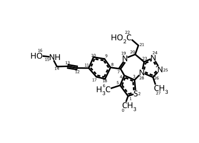 Cc1sc2c(c1C)C(c1ccc(C#CCNO)cc1)=NC(CC(=O)O)c1nnc(C)n1-2